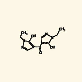 CCn1ncc(C(=O)c2cnn(CC)c2O)c1O